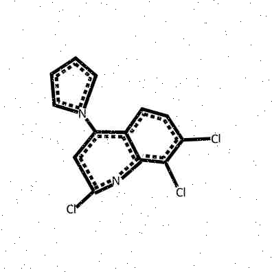 Clc1cc(-n2cccc2)c2ccc(Cl)c(Cl)c2n1